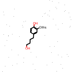 COc1cc(CCCCO)ccc1O